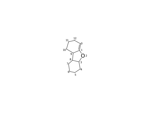 C1=C2OC3CCCCC3C2CCC1